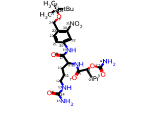 CC(C)C(OC(N)=O)C(=O)NC(CCCNC(N)=O)C(=O)Nc1ccc(CO[Si](C)(C)C(C)(C)C)c([N+](=O)[O-])c1